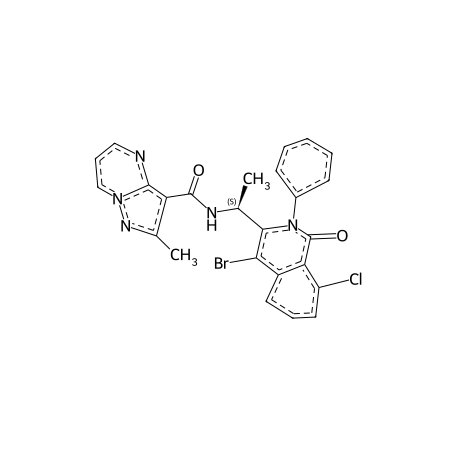 Cc1nn2cccnc2c1C(=O)N[C@@H](C)c1c(Br)c2cccc(Cl)c2c(=O)n1-c1ccccc1